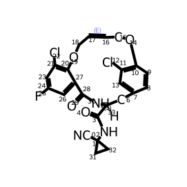 N#CC1(NC(=O)[C@@H]2Cc3ccc(c(Cl)c3)OC/C=C/COc3c(Cl)cc(F)cc3C(=O)N2)CC1